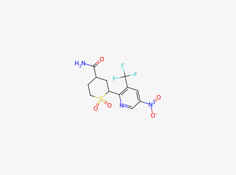 NC(=O)C1CCS(=O)(=O)C(c2ncc([N+](=O)[O-])cc2C(F)(F)F)C1